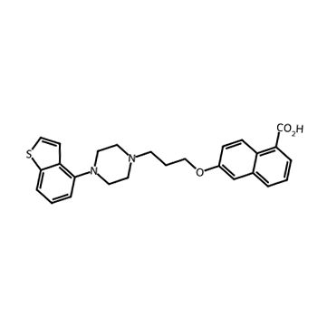 O=C(O)c1cccc2cc(OCCCN3CCN(c4cccc5sccc45)CC3)ccc12